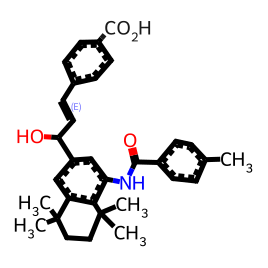 Cc1ccc(C(=O)Nc2cc(C(O)/C=C/c3ccc(C(=O)O)cc3)cc3c2C(C)(C)CCC3(C)C)cc1